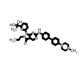 C=CCn1c(=O)c2cnc(Nc3ccc(-c4ccc(N5CCN(C)CC5)cc4)cc3)nc2n1-c1cccc(C(C)(C)O)n1